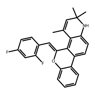 CC1=CC(C)(C)Nc2ccc3c(c21)/C(=C/c1ccc(F)cc1F)Oc1ccccc1-3